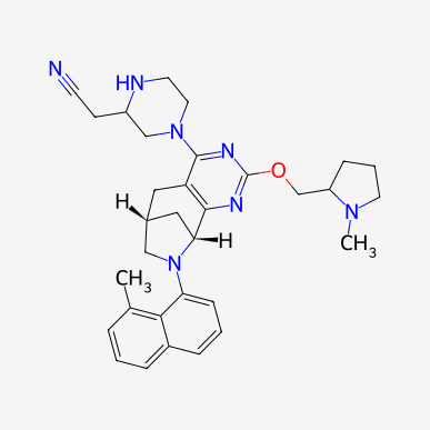 Cc1cccc2cccc(N3C[C@@H]4Cc5c(nc(OCC6CCCN6C)nc5N5CCNC(CC#N)C5)[C@H]3C4)c12